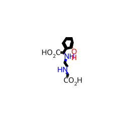 O=C(O)CNCCNC(C(=O)O)c1ccccc1O